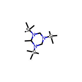 CC1N([Si](C)(C)C)CN([Si](C)(C)C)CN1[Si](C)(C)C